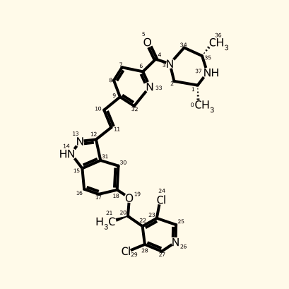 C[C@@H]1CN(C(=O)c2ccc(/C=C/c3n[nH]c4ccc(O[C@H](C)c5c(Cl)cncc5Cl)cc34)cn2)C[C@H](C)N1